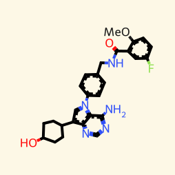 COc1ccc(F)cc1C(=O)NCc1ccc(-n2cc(C3CCC(O)CC3)c3ncnc(N)c32)cc1